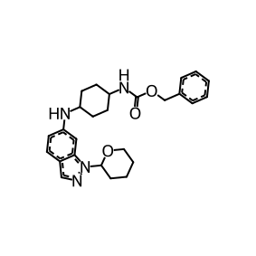 O=C(NC1CCC(Nc2ccc3cnn(C4CCCCO4)c3c2)CC1)OCc1ccccc1